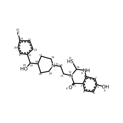 O=C1c2ccc(O)cc2NC(S)N1CCN1CCC(C(O)c2ccc(F)cc2)CC1